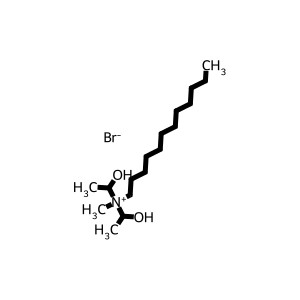 CCCCCCCCCCCC[N+](C)(C(C)O)C(C)O.[Br-]